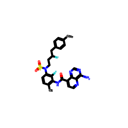 COc1ccc(CC(F)CCN(c2ccc(C#N)c(NC(=O)c3ccnc4c(N)ncnc34)c2F)[SH](=O)=O)cc1